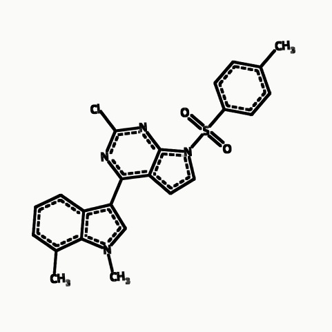 Cc1ccc(S(=O)(=O)n2ccc3c(-c4cn(C)c5c(C)cccc45)nc(Cl)nc32)cc1